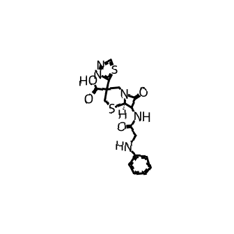 O=C(CNc1ccccc1)NC1C(=O)N2CC(C(=O)O)(c3nncs3)CS[C@H]12